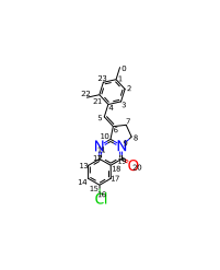 Cc1ccc(C=C2CCn3c2nc2ccc(Cl)cc2c3=O)c(C)c1